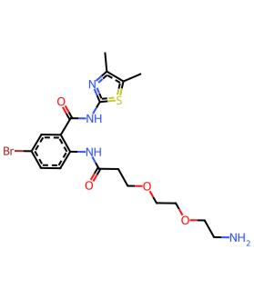 Cc1nc(NC(=O)c2cc(Br)ccc2NC(=O)CCOCCOCCN)sc1C